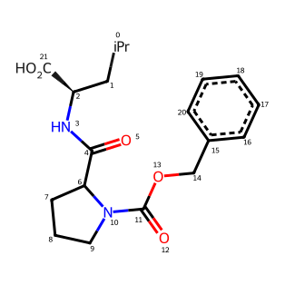 CC(C)C[C@@H](NC(=O)C1CCCN1C(=O)OCc1ccccc1)C(=O)O